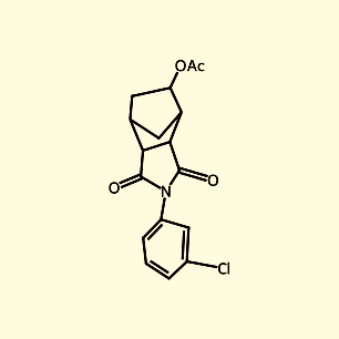 CC(=O)OC1CC2CC1C1C(=O)N(c3cccc(Cl)c3)C(=O)C21